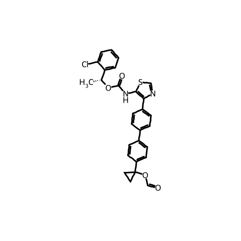 C[C@@H](OC(=O)Nc1scnc1-c1ccc(-c2ccc(C3(OC=O)CC3)cc2)cc1)c1ccccc1Cl